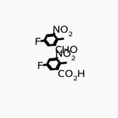 Cc1c(C(=O)O)cc(F)cc1[N+](=O)[O-].Cc1c(C=O)cc(F)cc1[N+](=O)[O-]